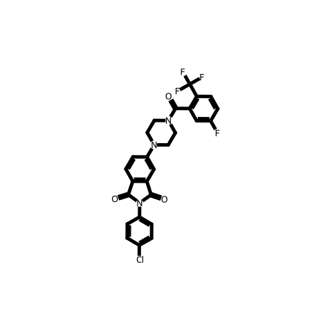 O=C(c1cc(F)ccc1C(F)(F)F)N1CCN(c2ccc3c(c2)C(=O)N(c2ccc(Cl)cc2)C3=O)CC1